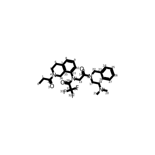 CCC(=O)N1CCc2cccc(N(CC(=O)N(CCN(C)C)Cc3ccccc3)C(=O)C(F)(F)F)c2C1